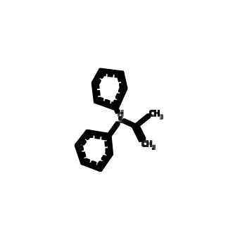 C=C(C)[SH](c1ccccc1)c1ccccc1